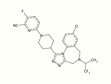 CC(N1Cc2cc(Cl)ccc2-n2c(nnc2C2CCN(c3ccc(F)c(C#N)n3)CC2)C1)C(F)(F)F